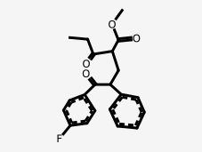 CCC(=O)C(CC(C(=O)c1ccc(F)cc1)c1ccccc1)C(=O)OC